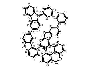 c1ccc(-c2ccc3c(c2)oc2nc(-c4cccc5oc6ccc(-c7ccc8c(c7)c7ccccc7n8-c7ccccc7)cc6c45)nc(-c4cccc5c4-c4ccccc4CO5)c23)cc1